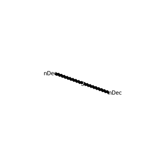 CCCCCCCCCCCCCCCCCCCCCCCCCCCCSCCCCCCCCCCCCCCCCCCCCCCCCCCCC